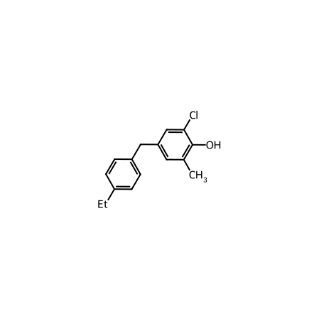 CCc1ccc(Cc2cc(C)c(O)c(Cl)c2)cc1